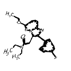 CCOc1ccc2nc(-c3ccc(F)cc3)c(CC(=O)N(CC)CC)n2n1